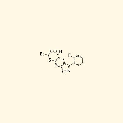 CCC(Sc1ccc2c(-c3ccccc3F)noc2c1)C(=O)O